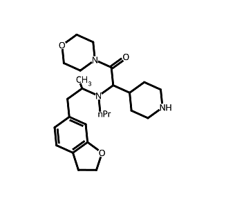 CCCN(C(C)Cc1ccc2c(c1)OCC2)C(C(=O)N1CCOCC1)C1CCNCC1